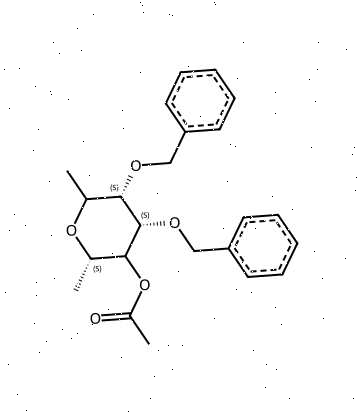 CC(=O)OC1[C@H](C)OC(C)[C@H](OCc2ccccc2)[C@@H]1OCc1ccccc1